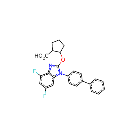 O=C(O)C1CCCC1Oc1nc2c(F)cc(F)cc2n1-c1ccc(-c2ccccc2)cc1